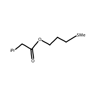 CSCCCOC(=O)CC(C)C